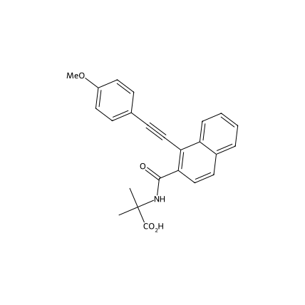 COc1ccc(C#Cc2c(C(=O)NC(C)(C)C(=O)O)ccc3ccccc23)cc1